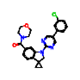 O=C(c1ccc2c(c1)N(c1ncc(-c3cccc(Cl)c3)cn1)CC21CC1)N1CCOCC1